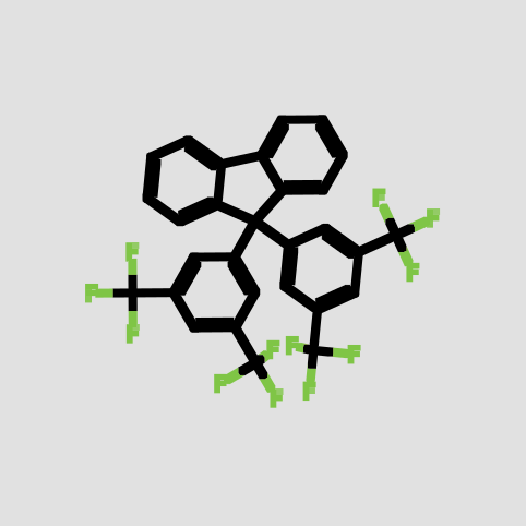 FC(F)(F)c1cc(C(F)(F)F)cc(C2(c3cc(C(F)(F)F)cc(C(F)(F)F)c3)c3ccccc3-c3ccccc32)c1